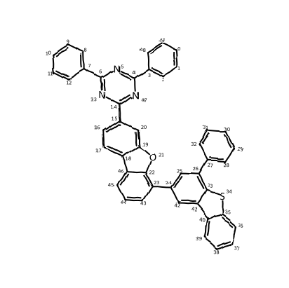 c1ccc(-c2nc(-c3ccccc3)nc(-c3ccc4c(c3)oc3c(-c5cc(-c6ccccc6)c6sc7ccccc7c6c5)cccc34)n2)cc1